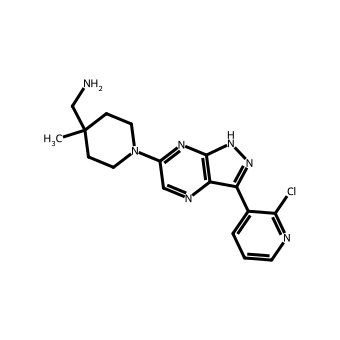 CC1(CN)CCN(c2cnc3c(-c4cccnc4Cl)n[nH]c3n2)CC1